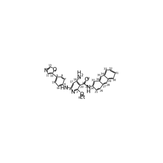 CCOc1nc(Nc2ccc(-c3cnco3)cc2)cc(N)c1C(=O)Nc1ccc2cc3ccccc3cc2c1